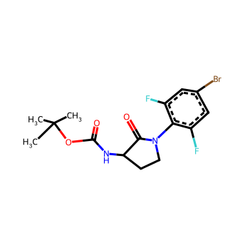 CC(C)(C)OC(=O)NC1CCN(c2c(F)cc(Br)cc2F)C1=O